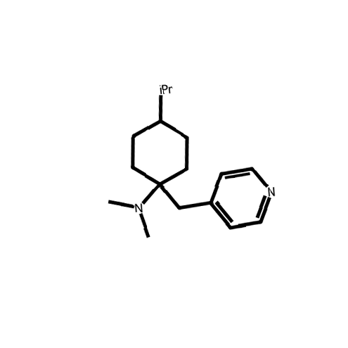 CC(C)C1CCC(Cc2ccncc2)(N(C)C)CC1